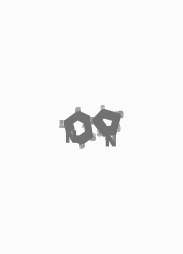 [c]1ccc2nc1-2.[c]1cccnc1